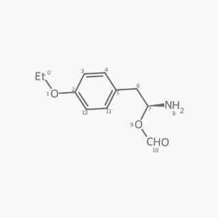 CCOc1ccc(C[C@@H](N)OC=O)cc1